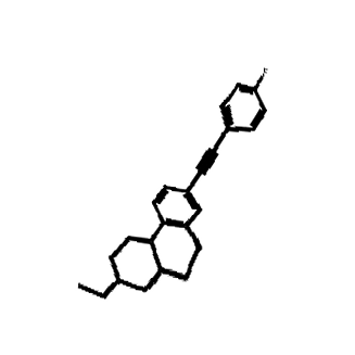 CCC1CCC2c3ccc(C#Cc4ccc(F)cc4)cc3CCC2C1